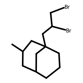 CC1CC2CCCC(CC(Br)CBr)(C1)C2